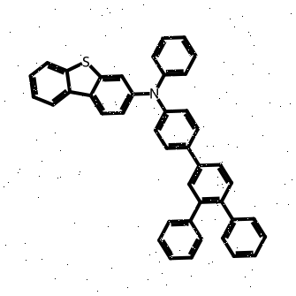 c1ccc(-c2ccc(-c3ccc(N(c4ccccc4)c4ccc5c(c4)sc4ccccc45)cc3)cc2-c2ccccc2)cc1